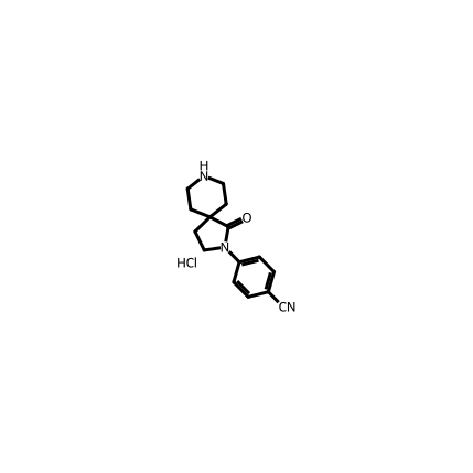 Cl.N#Cc1ccc(N2CCC3(CCNCC3)C2=O)cc1